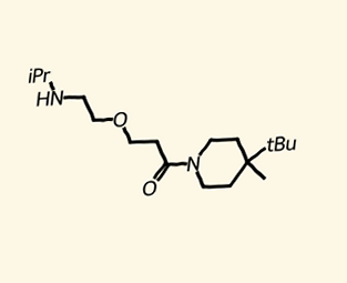 CC(C)NCCOCCC(=O)N1CCC(C)(C(C)(C)C)CC1